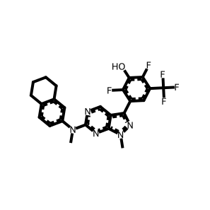 CN(c1ccc2c(c1)CCCC2)c1ncc2c(-c3cc(C(F)(F)F)c(F)c(O)c3F)nn(C)c2n1